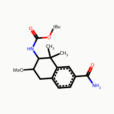 COC1Cc2ccc(C(N)=O)cc2C(C)(C)C1NC(=O)OC(C)(C)C